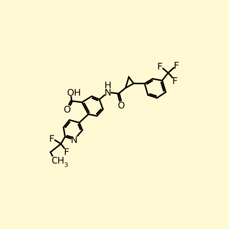 CCC(F)(F)c1ccc(-c2ccc(NC(=O)C3CC3c3cccc(C(F)(F)F)c3)cc2C(=O)O)cn1